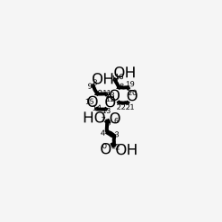 O=C(O)C=CC(=O)O.OCC1COCCO1.OCC1COCCO1